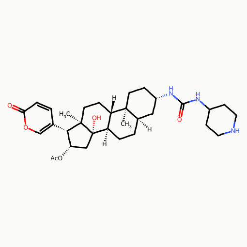 CC(=O)O[C@H]1C[C@]2(O)[C@@H]3CC[C@@H]4C[C@@H](NC(=O)NC5CCNCC5)CC[C@]4(C)[C@H]3CC[C@]2(C)[C@H]1c1ccc(=O)oc1